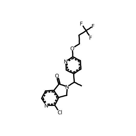 CC(c1ccc(OCCC(F)(F)F)nc1)N1Cc2c(ccnc2Cl)C1=O